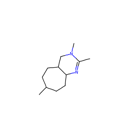 CC1=NC2CCC(C)CCC2CN1C